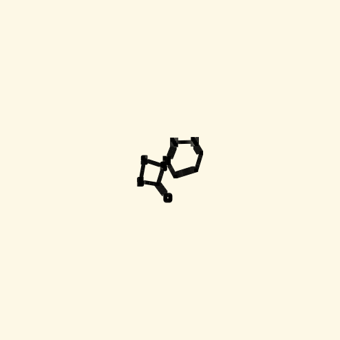 O=c1sss1.c1cnnnc1